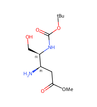 COC(=O)C[C@@H](N)[C@@H](CO)NC(=O)OC(C)(C)C